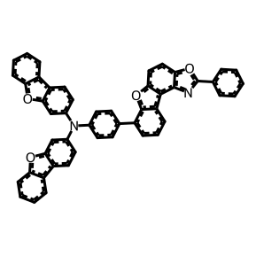 c1ccc(-c2nc3c(ccc4oc5c(-c6ccc(N(c7ccc8c(c7)oc7ccccc78)c7ccc8c(c7)oc7ccccc78)cc6)cccc5c43)o2)cc1